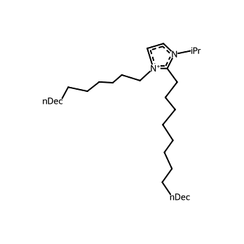 CCCCCCCCCCCCCCCCCCc1n(C(C)C)cc[n+]1CCCCCCCCCCCCCCCC